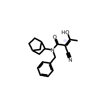 C/C(O)=C(\C#N)C(=O)N(Cc1ccccc1)C1CC2CCC1C2